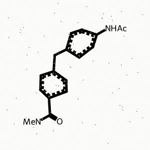 CNC(=O)c1ccc(Cc2ccc(NC(C)=O)cc2)cc1